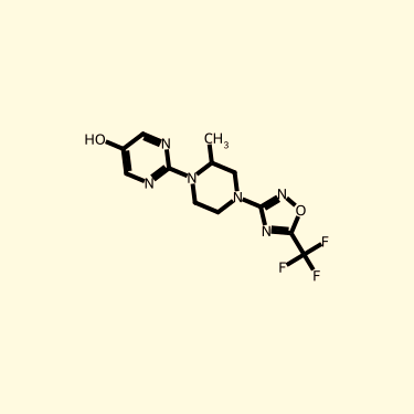 CC1CN(c2noc(C(F)(F)F)n2)CCN1c1ncc(O)cn1